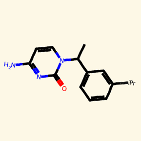 CC(C)c1cccc(C(C)n2ccc(N)nc2=O)c1